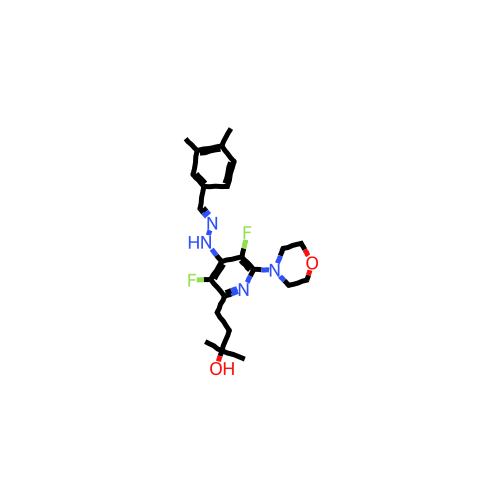 Cc1ccc(/C=N/Nc2c(F)c(CCC(C)(C)O)nc(N3CCOCC3)c2F)cc1C